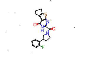 O=C(c1nc2sc3c(c2c(=O)[nH]1)CCC3)N1CCC(c2ccccc2F)C1